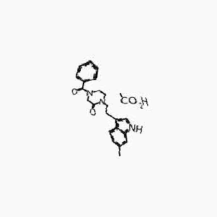 CC(=O)O.Cc1ccc2c(CCN3CCN(C(=O)c4ccccc4)CC3=O)c[nH]c2c1